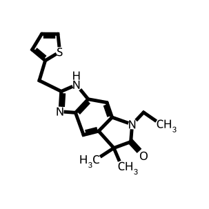 CCN1C(=O)C(C)(C)c2cc3nc(Cc4cccs4)[nH]c3cc21